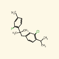 Cc1ccc(C(C)(C)Cc2ccc(C(C)C)c(Cl)c2)c(F)c1